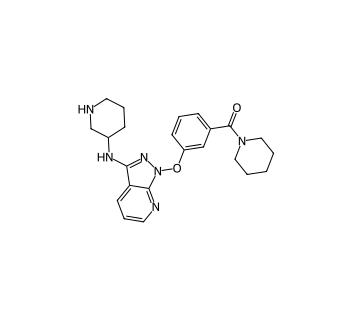 O=C(c1cccc(On2nc(NC3CCCNC3)c3cccnc32)c1)N1CCCCC1